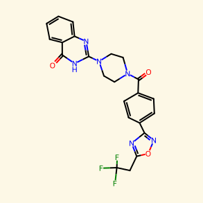 O=C(c1ccc(-c2noc(CC(F)(F)F)n2)cc1)N1CCN(c2nc3ccccc3c(=O)[nH]2)CC1